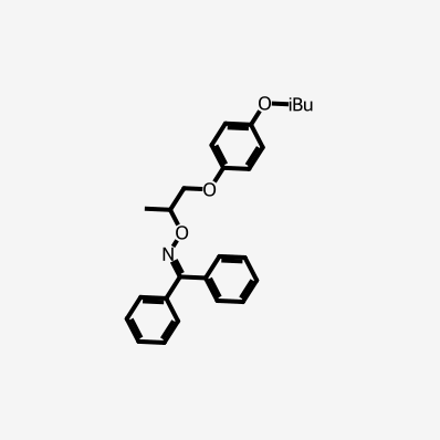 CCC(C)Oc1ccc(OCC(C)ON=C(c2ccccc2)c2ccccc2)cc1